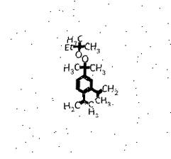 C=C(C)c1ccc(C(C)(C)OOC(C)(C)CC)cc1C(=C)C